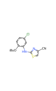 CC(C)COc1ccc(Cl)cc1Nc1nc(C#N)cs1